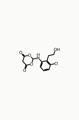 O=C1CC(=O)OC(Nc2cccc(Cl)c2CCO)O1